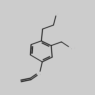 NCc1cc(N=C=S)ccc1CCBr